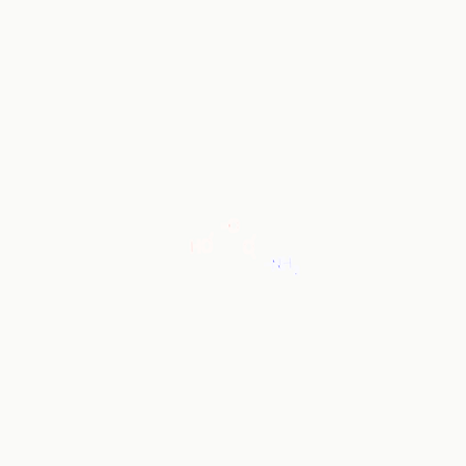 CC(=O)O.CCCCCCOC(N)CC